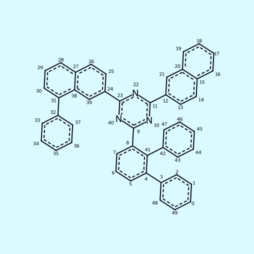 c1ccc(-c2cccc(-c3nc(-c4ccc5ccccc5c4)nc(-c4ccc5cccc(-c6ccccc6)c5c4)n3)c2-c2ccccc2)cc1